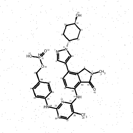 CN1Cc2c(-c3cnn([C@H]4CC[C@H](O)CC4)c3)ccc(Nc3nc(Nc4ccc(CO[PH](=O)O)cc4)ncc3C(F)(F)F)c2C1=O